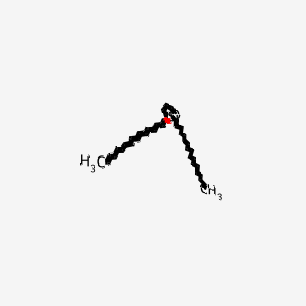 CCCCCCCCCCCCCCCCCC[Si]1(CCCCCCCCCCCCCCCCCC)CCCCO1